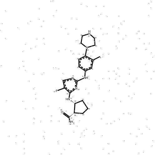 Cc1cc(Nc2ncc(F)c(N[C@@H]3CCC[C@@H]3C(N)=O)n2)ccc1N1CCNCC1